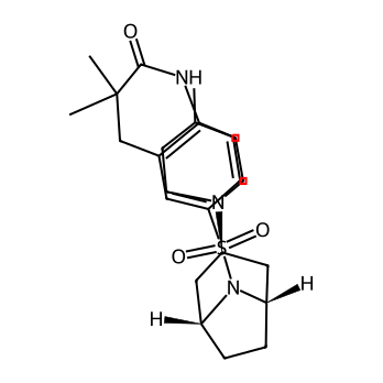 CC1CCN([C@@H]2C[C@H]3CC[C@@H](C2)N3S(=O)(=O)c2ccc3c(c2)CC(C)(C)C(=O)N3)CC1